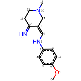 COc1ccc(N/C=C2/CN(C)CCC2=N)cc1